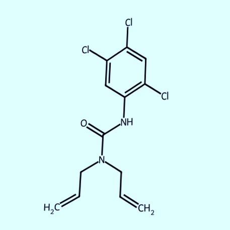 C=CCN(CC=C)C(=O)Nc1cc(Cl)c(Cl)cc1Cl